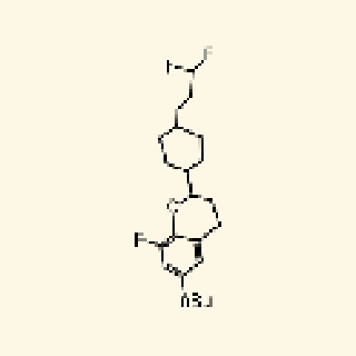 CCCCc1cc(F)c2c(c1)CCC(C1CCC(CCC(F)F)CC1)O2